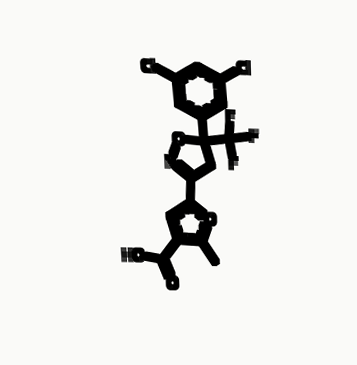 Cc1oc(C2=NOC(c3cc(Cl)cc(Cl)c3)(C(F)(F)F)C2)cc1C(=O)O